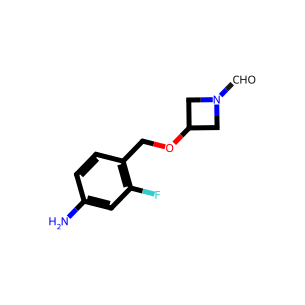 Nc1ccc(COC2CN(C=O)C2)c(F)c1